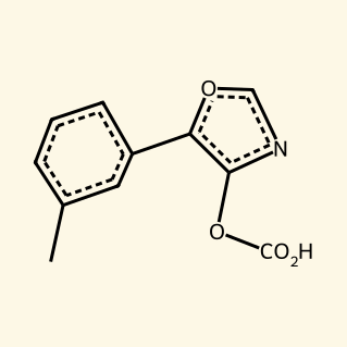 Cc1cccc(-c2ocnc2OC(=O)O)c1